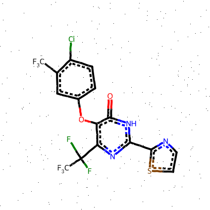 O=c1[nH]c(-c2nccs2)nc(C(F)(F)C(F)(F)F)c1Oc1ccc(Cl)c(C(F)(F)F)c1